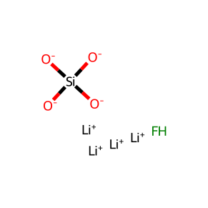 F.[Li+].[Li+].[Li+].[Li+].[O-][Si]([O-])([O-])[O-]